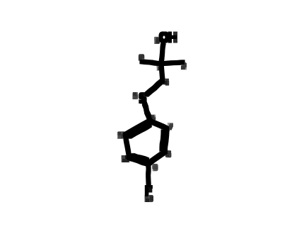 CC(C)(O)CSc1ccc(F)cc1